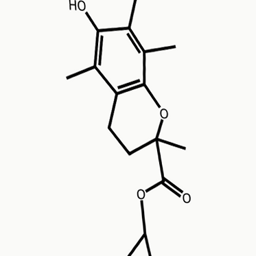 Cc1c(C)c2c(c(C)c1O)CCC(C)(C(=O)OC1CC1)O2